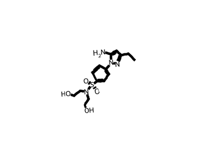 CCc1cc(N)n(-c2ccc(S(=O)(=O)N(CCO)CCO)cc2)n1